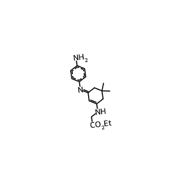 CCOC(=O)CNC1=C/C(=N/c2ccc(N)cc2)CC(C)(C)C1